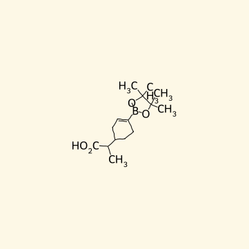 CC(C(=O)O)C1CC=C(B2OC(C)(C)C(C)(C)O2)CC1